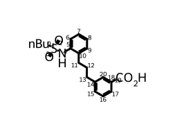 CCCCS(=O)(=O)Nc1ccccc1CCCc1cccc(C(=O)O)c1